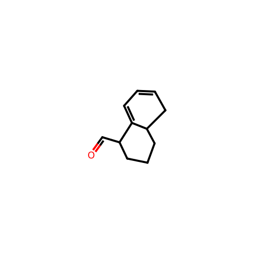 O=CC1CCCC2CC=CC=C12